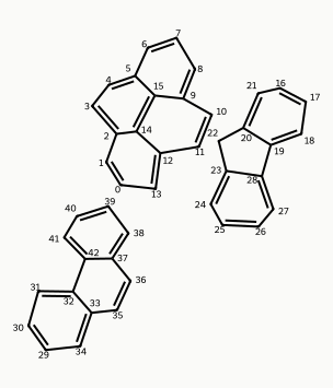 c1cc2ccc3cccc4ccc(c1)c2c34.c1ccc2c(c1)Cc1ccccc1-2.c1ccc2c(c1)ccc1ccccc12